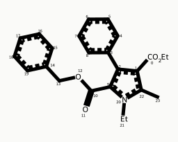 CCOC(=O)c1c(-c2ccccc2)c(C(=O)OCc2ccccc2)n(CC)c1C